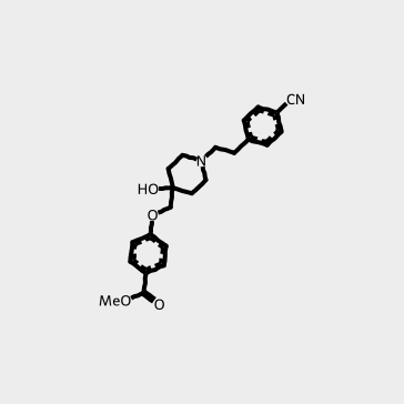 COC(=O)c1ccc(OCC2(O)CCN(CCc3ccc(C#N)cc3)CC2)cc1